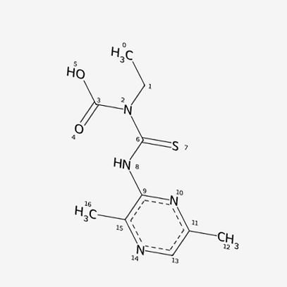 CCN(C(=O)O)C(=S)Nc1nc(C)cnc1C